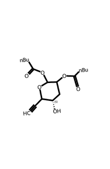 C#CC1OC(OC(=O)CCCC)C(OC(=O)CCCC)C[C@@H]1O